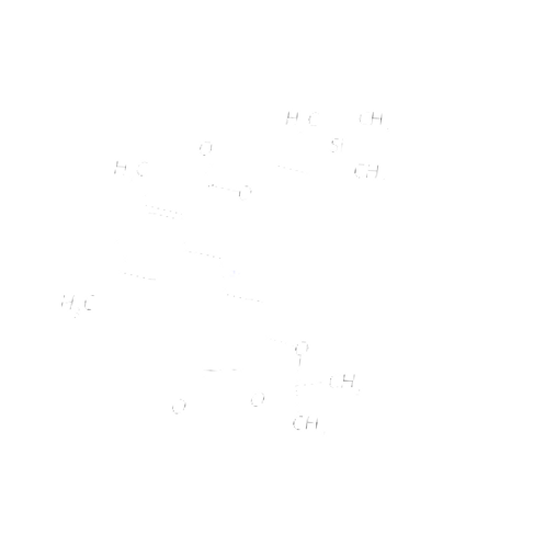 Cc1cc(C)c(C(=O)OCC[Si](C)(C)C)c(/C=C/CC2OC(C)(C)OC2C=O)c1